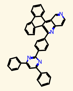 c1ccc(-c2cc(-c3ccccc3)nc(-c3ccc(-c4nc5ccncc5c5c6ccccc6c6ccccc6c45)cc3)n2)cc1